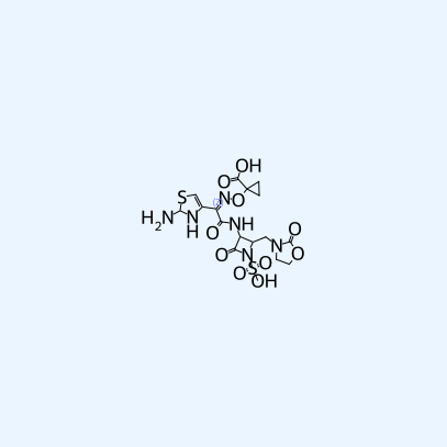 NC1NC(/C(=N/OC2(C(=O)O)CC2)C(=O)NC2C(=O)N(S(=O)(=O)O)C2CN2CCOC2=O)=CS1